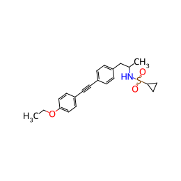 CCOc1ccc(C#Cc2ccc(CC(C)NS(=O)(=O)C3CC3)cc2)cc1